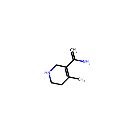 C=C(N)C1=C(C)CCNC1